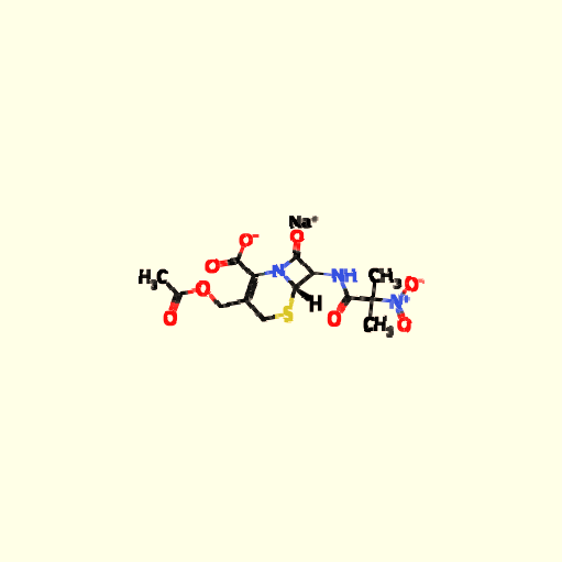 CC(=O)OCC1=C(C(=O)[O-])N2C(=O)C(NC(=O)C(C)(C)[N+](=O)[O-])[C@@H]2SC1.[Na+]